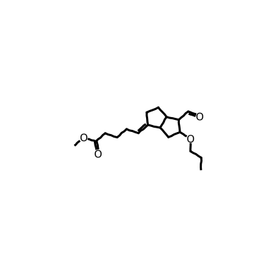 CCCOC1CC2C(=CCCCC(=O)OC)CCC2C1C=O